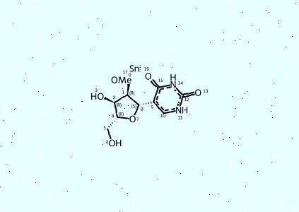 CO[C@@H]1[C@H](O)[C@@H](CO)O[C@H]1c1c[nH]c(=O)[nH]c1=O.[Sn]